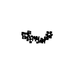 C=C(CCNC(=C)CC(C)(C)CC(CC)CC(CC)C(C)C)NCCSSC1=CCCC=N1